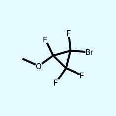 COC1(F)C(F)(F)C1(F)Br